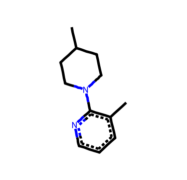 Cc1cccnc1N1CCC(C)CC1